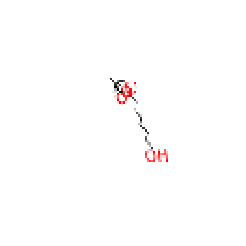 CC12COC(CCCCCCCO)(OC1)OC2